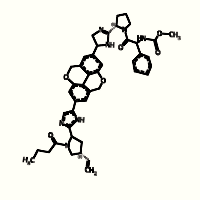 C=C[C@H]1CC(c2ncc(-c3cc4c5c(c3)OCc3cc(C6CN=C([C@@H]7CCCN7C(=O)C(NC(=O)OC)c7ccccc7)N6)cc(c3-5)OC4)[nH]2)N(C(=O)CCC)C1